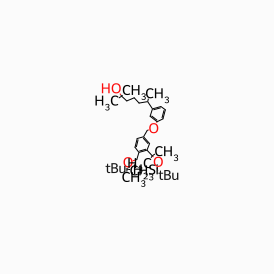 CC(CCCC(C)(C)O)c1cccc(OCc2ccc(COC(C)(C)C(C)(C)C)c(C(C)(C)O[SiH2]C(C)(C)C)c2)c1